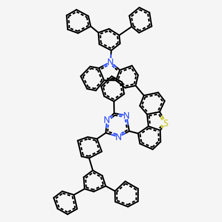 c1ccc(-c2cc(-c3ccccc3)cc(-c3cccc(-c4nc(-c5ccccc5)nc(-c5cccc6sc7ccc(-c8ccc9c(c8)c8ccccc8n9-c8cc(-c9ccccc9)cc(-c9ccccc9)c8)cc7c56)n4)c3)c2)cc1